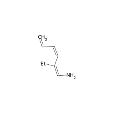 C=C/C=C\C(=C/N)CC